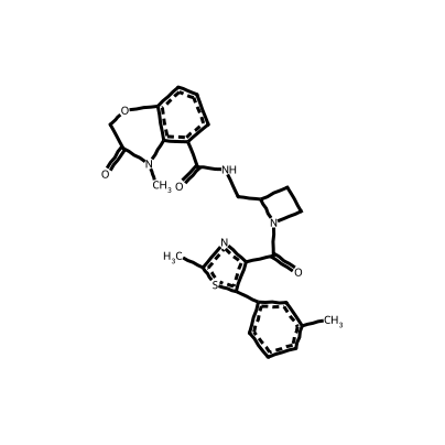 Cc1cccc(-c2sc(C)nc2C(=O)N2CCC2CNC(=O)c2cccc3c2N(C)C(=O)CO3)c1